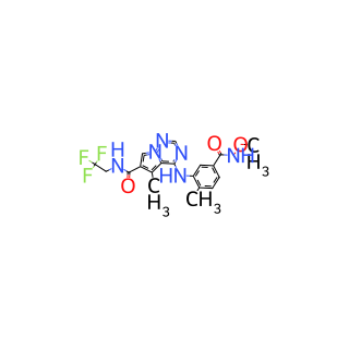 CONC(=O)c1ccc(C)c(Nc2ncnn3cc(C(=O)NCC(F)(F)F)c(C)c23)c1